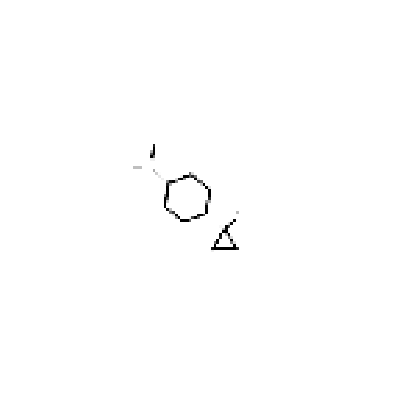 CN[C@H]1CC[C@H](C2(O)CC2)CC1